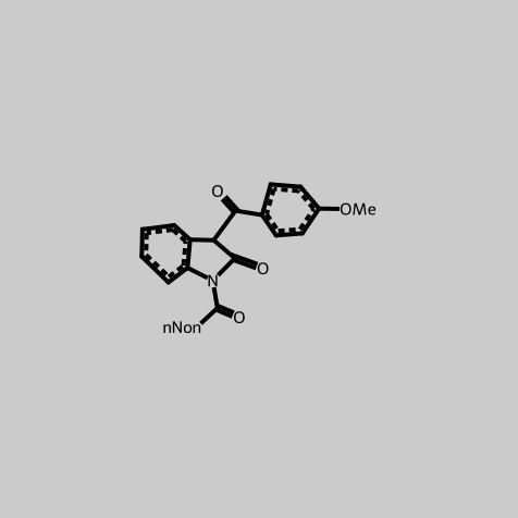 CCCCCCCCCC(=O)N1C(=O)C(C(=O)c2ccc(OC)cc2)c2ccccc21